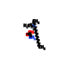 CCCCCCCCCCCCCN(CCC)CCC.NCC(=O)O